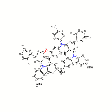 CCCCc1ccc(N2c3cc4c(cc3B3c5c2cc(-c2cc(C)ccc2C)cc5-n2c5ccc(CCCC)cc5c5cc(C)cc3c52)B2c3c(cc(-c5cc(C)ccc5C)cc3-n3c5ccc(CCCC)cc5c5cc(CCCC)cc2c53)O4)cc1